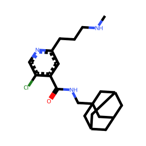 CNCCCc1cc(C(=O)NCC23CC4CC(CC(C4)C2)C3)c(Cl)cn1